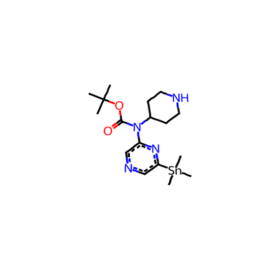 CC(C)(C)OC(=O)N(c1cnc[c]([Sn]([CH3])([CH3])[CH3])n1)C1CCNCC1